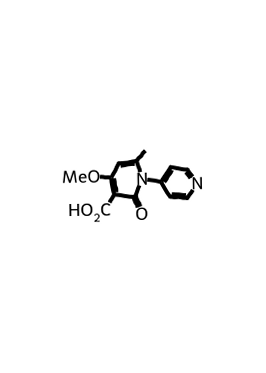 COc1cc(C)n(-c2ccncc2)c(=O)c1C(=O)O